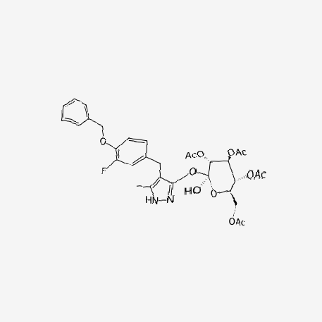 CC(=O)OC[C@H]1O[C@@](O)(Oc2n[nH]c(C)c2Cc2ccc(OCc3ccccc3)c(F)c2)[C@H](OC(C)=O)[C@@H](OC(C)=O)[C@@H]1OC(C)=O